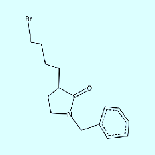 O=C1C(CCCCBr)CCN1Cc1ccccc1